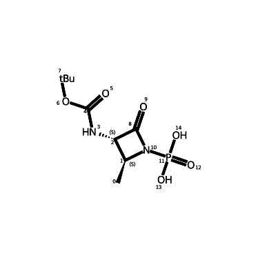 C[C@H]1[C@H](NC(=O)OC(C)(C)C)C(=O)N1P(=O)(O)O